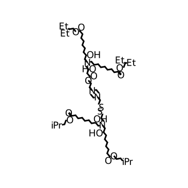 CCC(CC)COC(=O)CCCCCCC(O)CN(CCCC(=O)OCCN1CCN(CCSSCCCN(CC(O)CCCCCCC(=O)OCCC(C)C)CC(O)CCCCCCC(=O)OCCC(C)C)CC1)CC(O)CCCCCCC(=O)OCC(CC)CC